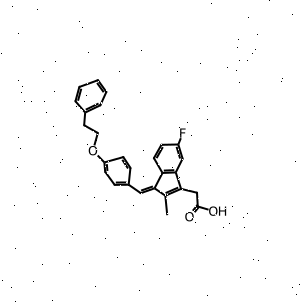 CC1=C(CC(=O)O)c2cc(F)ccc2/C1=C\c1ccc(OCCc2ccccc2)cc1